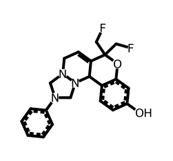 Oc1ccc2c(c1)OC(CF)(CF)C1=CCN3CN(c4ccccc4)CN3C12